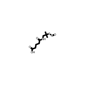 CC(C)(CNC(=O)CCCC(=O)O)SN=O